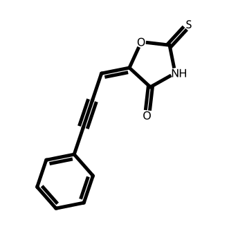 O=C1NC(=S)O/C1=C/C#Cc1ccccc1